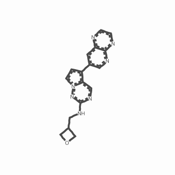 c1cnc2ncc(-c3ccn4nc(NCC5COC5)ncc34)cc2n1